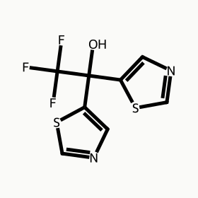 OC(c1cncs1)(c1cncs1)C(F)(F)F